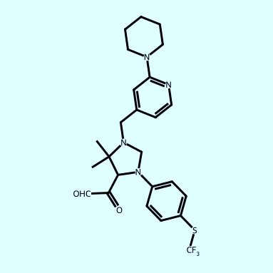 CC1(C)C(C(=O)C=O)N(c2ccc(SC(F)(F)F)cc2)CN1Cc1ccnc(N2CCCCC2)c1